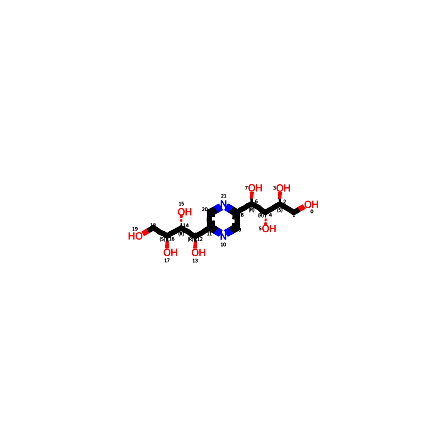 OC[C@H](O)[C@H](O)[C@H](O)c1cnc([C@@H](O)[C@@H](O)[C@@H](O)CO)cn1